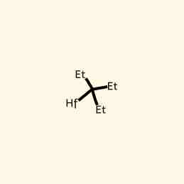 CC[C]([Hf])(CC)CC